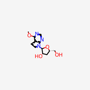 COc1ncnc2c1ccn2C1O[C@H](CO)C[C@H]1O